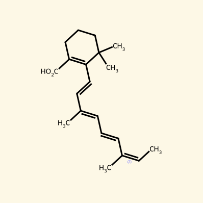 C/C=C(/C)C=CC=C(C)C=CC1=C(C(=O)O)CCCC1(C)C